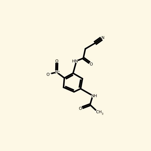 CC(=O)Nc1ccc([N+](=O)[O-])c(NC(=O)CC#N)c1